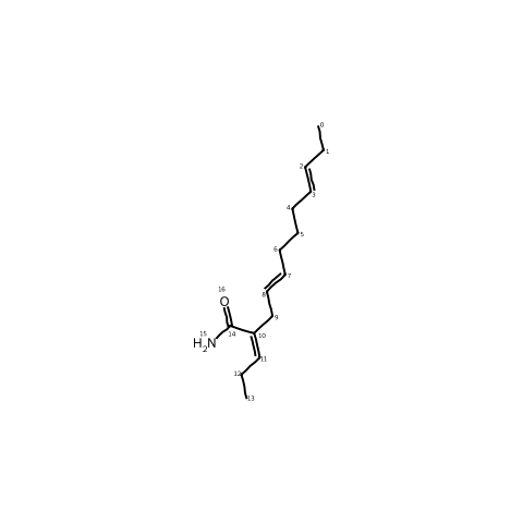 CCC=CCCCC=CCC(=CCC)C(N)=O